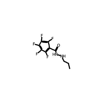 CCCNNC(=O)c1c(F)c(F)c(F)c(F)c1F